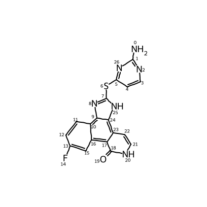 Nc1nccc(Sc2nc3c4ccc(F)cc4c4c(=O)[nH]ccc4c3[nH]2)n1